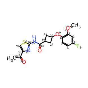 COc1cc(F)ccc1OC1CC(C(=O)Nc2nc(C(C)=O)cs2)C1